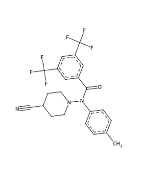 Cc1ccc(N(C(=O)c2cc(C(F)(F)F)cc(C(F)(F)F)c2)N2CCC(C#N)CC2)cc1